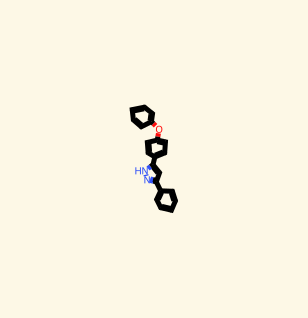 c1ccc(Oc2ccc(-c3cc(-c4ccccc4)n[nH]3)cc2)cc1